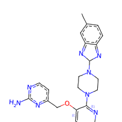 C/C=C(OCc1ccnc(N)n1)\C(=N/C)N1CCN(C2N=c3ccc(C)cc3=N2)CC1